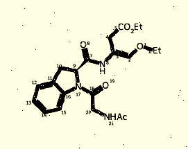 CCO/C=C(\CC(=O)OCC)NC(=O)[C@@H]1Cc2ccccc2N1C(=O)CNC(C)=O